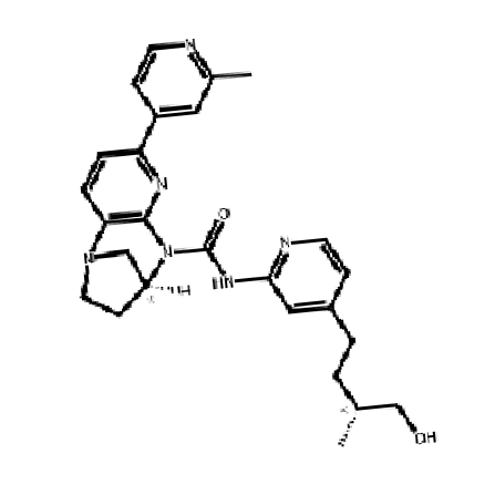 Cc1cc(-c2ccc3c(n2)N(C(=O)Nc2cc(CC[C@@H](C)CO)ccn2)[C@H]2CCN3C2)ccn1